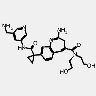 NCc1cncc(NC(=O)C2(c3ccc4c(c3)N=C(N)CC(C(=O)N(CCO)CCO)=C4)CC2)c1